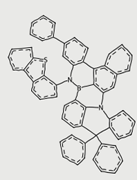 c1ccc(-c2ccc3c(c2)N(c2cccc4c2sc2ccccc24)B2c4cccc5c4N(c4ccccc4C5(c4ccccc4)c4ccccc4)c4cc5ccccc5c-3c42)cc1